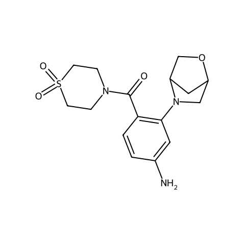 Nc1ccc(C(=O)N2CCS(=O)(=O)CC2)c(N2CC3CC2CO3)c1